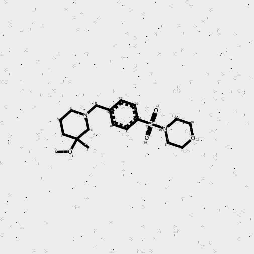 COC1(C)CCCN(Cc2ccc(S(=O)(=O)N3CCOCC3)cc2)C1